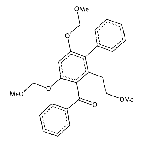 COCCc1c(C(=O)c2ccccc2)c(OCOC)cc(OCOC)c1-c1ccccc1